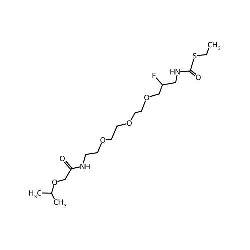 CCSC(=O)NCC(F)COCCOCCOCCNC(=O)COC(C)C